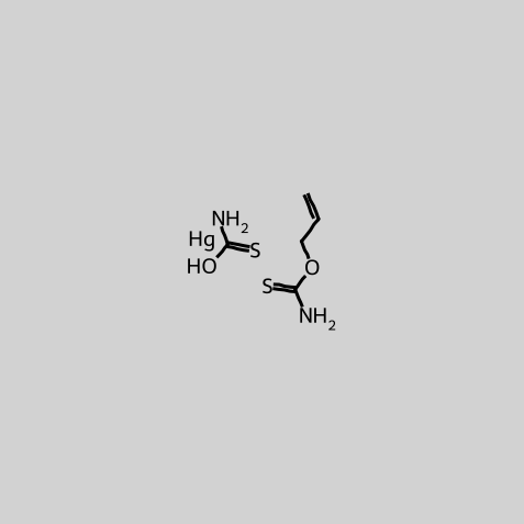 C=CCOC(N)=S.NC(O)=S.[Hg]